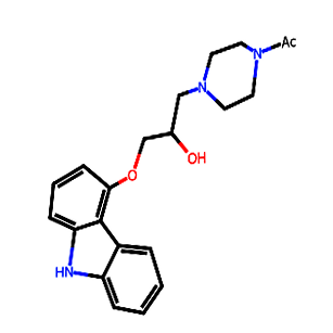 CC(=O)N1CCN(CC(O)COc2cccc3[nH]c4ccccc4c23)CC1